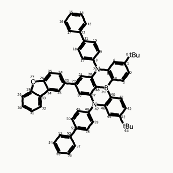 CC(C)(C)c1ccc2c(c1)N(c1ccc(-c3ccccc3)cc1)c1cc(-c3ccc4oc5ccccc5c4c3)cc3c1B2c1ccc(C(C)(C)C)cc1N3c1ccc(-c2ccccc2)cc1